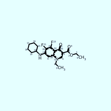 CCOC(=O)c1cn(CC)c2cc(NC3CCCCC3)c(F)c(F)c2c1=O